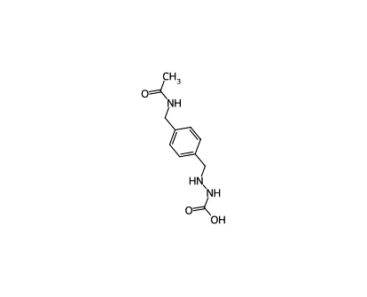 CC(=O)NCc1ccc(CNNC(=O)O)cc1